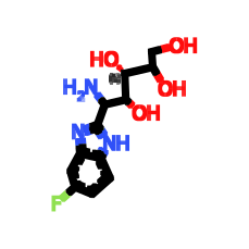 NC(c1nc2cc(F)ccc2[nH]1)C(O)[C@H](O)C(O)CO